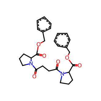 O=C(OCc1ccccc1)C1CCCN1C(=O)CCC(=O)N1CCCC1C(=O)OCc1ccccc1